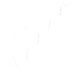 CCCCCCCCCCCCCCCC[N+](C)(C)C.O=CO